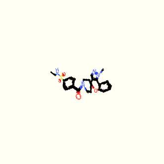 CCNS(=O)(=O)c1ccc(C(=O)N2CCC3(CC2)Oc2ccccc2-c2c3cnn2C)cc1